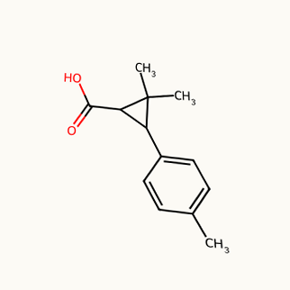 Cc1ccc(C2C(C(=O)O)C2(C)C)cc1